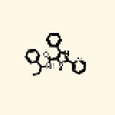 CCC(NC(=O)c1c(-c2ccccc2)nc(-c2ccccn2)n1C)c1ccccc1